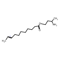 C/C=C/CCCCCCCC(=O)OCCC(C)N